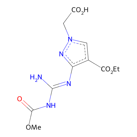 CCOC(=O)c1cn(CC(=O)O)nc1/N=C(\N)NC(=O)OC